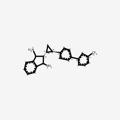 NC1c2ccccc2C(N)C1[C@@H]1C[C@H]1c1ccc(-c2cccc(C(F)(F)F)c2)cc1